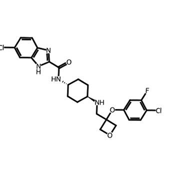 O=C(N[C@H]1CC[C@H](NCC2(Oc3ccc(Cl)c(F)c3)COC2)CC1)c1nc2ccc(Cl)cc2[nH]1